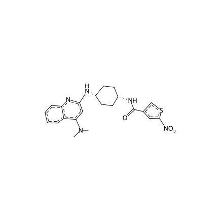 CN(C)c1cc(N[C@H]2CC[C@@H](NC(=O)c3csc([N+](=O)[O-])c3)CC2)nc2ccccc12